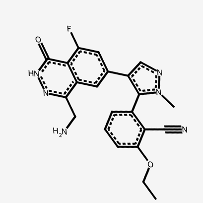 CCOc1cccc(-c2c(-c3cc(F)c4c(=O)[nH]nc(CN)c4c3)cnn2C)c1C#N